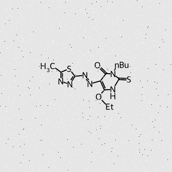 CCCCn1c(=S)[nH]c(OCC)c(/N=N/c2nnc(C)s2)c1=O